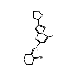 Cc1cc(N/C=C2/COCCC2=N)nc2cc(C3CCCO3)nn12